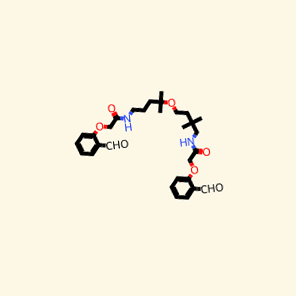 CC(C)(CCOC(C)(C)CCCNC(=O)COc1ccccc1C=O)CNC(=O)COc1ccccc1C=O